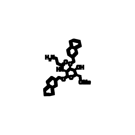 COC[C@H]1OC(OCc2ccc3ccccc3c2)[C@H](NC(=O)CCN)[C@H](OCc2ccc3ccccc3c2)[C@@H]1O